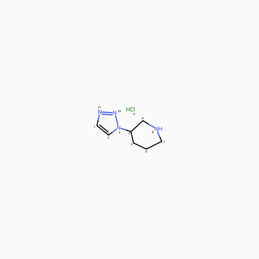 Cl.c1cn(C2CCCNC2)nn1